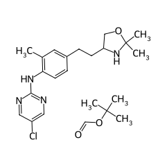 CC(C)(C)OC=O.Cc1cc(CCC2COC(C)(C)N2)ccc1Nc1ncc(Cl)cn1